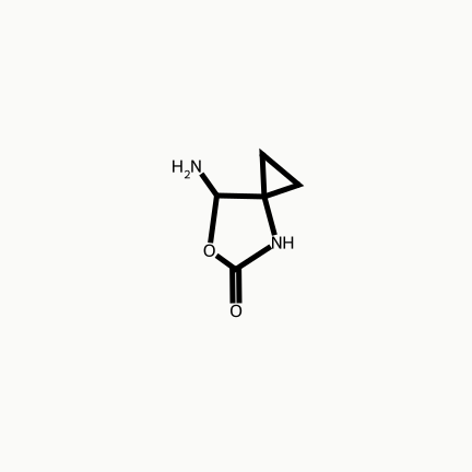 NC1OC(=O)NC12CC2